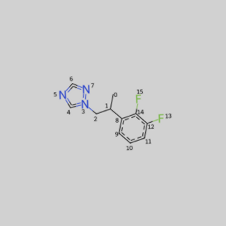 CC(Cn1cncn1)c1cccc(F)c1F